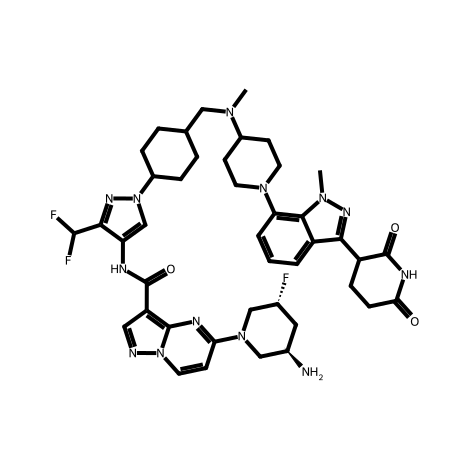 CN(CC1CCC(n2cc(NC(=O)c3cnn4ccc(N5C[C@H](N)C[C@@H](F)C5)nc34)c(C(F)F)n2)CC1)C1CCN(c2cccc3c(C4CCC(=O)NC4=O)nn(C)c23)CC1